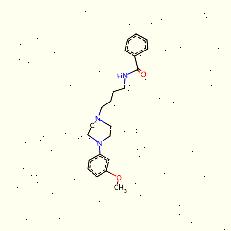 COc1cccc(N2CCN(CCCCNC(=O)c3ccccc3)CC2)c1